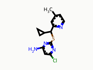 Cc1ccnc(C(Sc2nc(N)cc(Cl)n2)C2CC2)c1